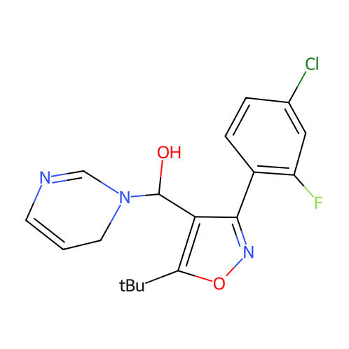 CC(C)(C)c1onc(-c2ccc(Cl)cc2F)c1C(O)N1C=NC=CC1